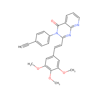 C#Cc1ccc(-n2c(C=Cc3cc(OC)c(OC)c(OC)c3)nc3ncccc3c2=O)cc1